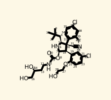 CC(C)(C)C[C@@H]1N[C@H](OC(=O)NCC[C@H](O)CO)[C@H](c2cc(Cl)ccc2OCCO)[C@@]1(C#N)c1ccc(Cl)cc1F